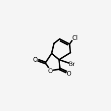 O=C1OC(=O)C2(Br)CC(Cl)=CCC12